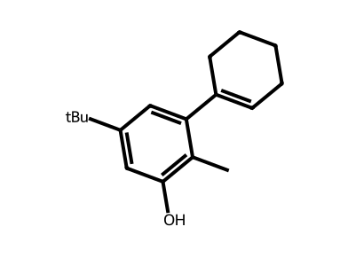 Cc1c(O)cc(C(C)(C)C)cc1C1=CCCCC1